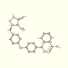 CN(c1ccc(Oc2ccc(C[C@H]3COC(=O)N3C)cc2)cc1)c1ncccc1[N+](=O)[O-]